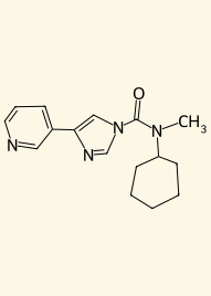 CN(C(=O)n1cnc(-c2cccnc2)c1)C1CCCCC1